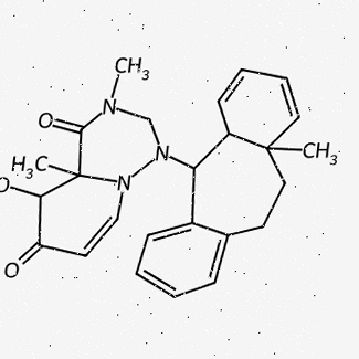 CN1CN(C2c3ccccc3CCC3(C)C=CC=CC23)N2C=CC(=O)C(O)C2(C)C1=O